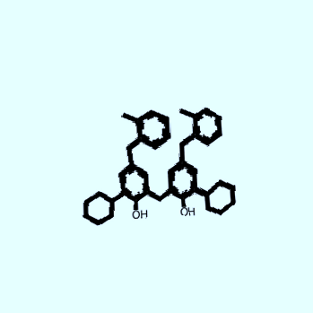 Cc1ccccc1Cc1cc(Cc2cc(Cc3ccccc3C)cc(C3CCCCC3)c2O)c(O)c(C2CCCCC2)c1